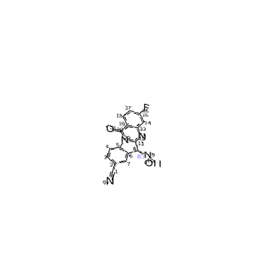 N#Cc1ccc2c(c1)/C(=N\O)c1nc3cc(F)ccc3c(=O)n1-2